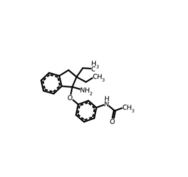 CCC1(CC)Cc2ccccc2C1(N)Oc1cccc(NC(C)=O)c1